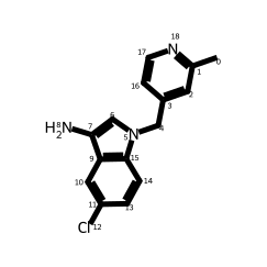 Cc1cc(Cn2cc(N)c3cc(Cl)ccc32)ccn1